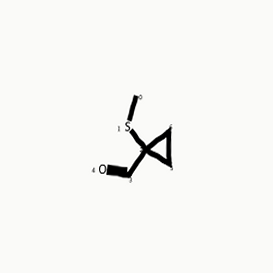 CSC1(C=O)CC1